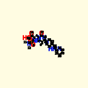 Cc1cn(C[C@H](NS(=O)(=O)N(C)C)C(=O)O)c(=O)nc1N1CCC(CNc2ccccn2)CC1